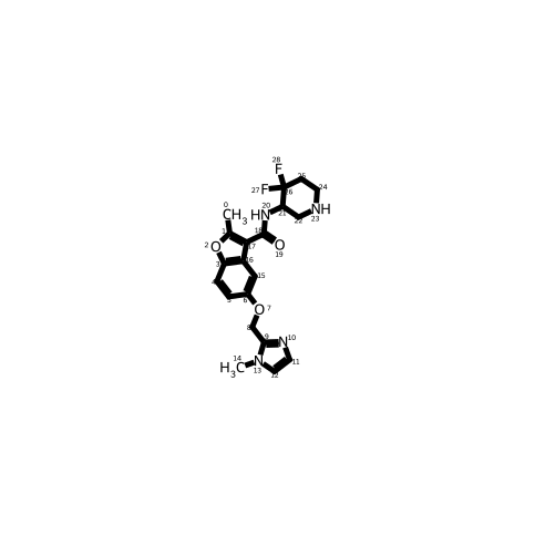 Cc1oc2ccc(OCc3nccn3C)cc2c1C(=O)NC1CNCCC1(F)F